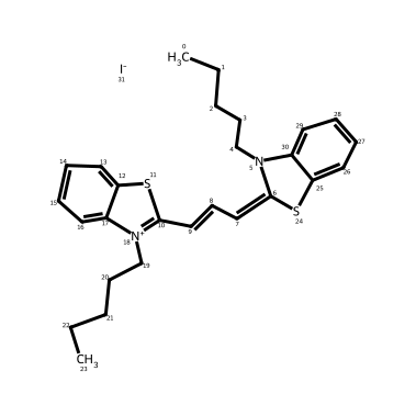 CCCCCN1C(=CC=Cc2sc3ccccc3[n+]2CCCCC)Sc2ccccc21.[I-]